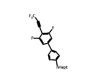 CCCCCCCc1ccc(-c2cc(F)c(C#CC(F)(F)F)c(F)c2)cc1